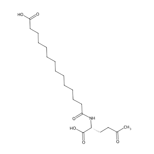 CC(=O)CC[C@@H](NC(=O)CCCCCCCCCCCCC(=O)O)C(=O)O